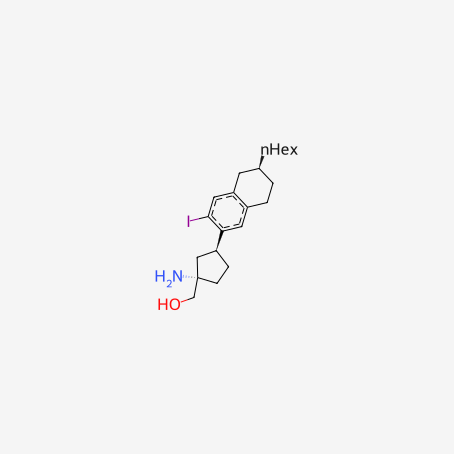 CCCCCC[C@H]1CCc2cc([C@H]3CC[C@@](N)(CO)C3)c(I)cc2C1